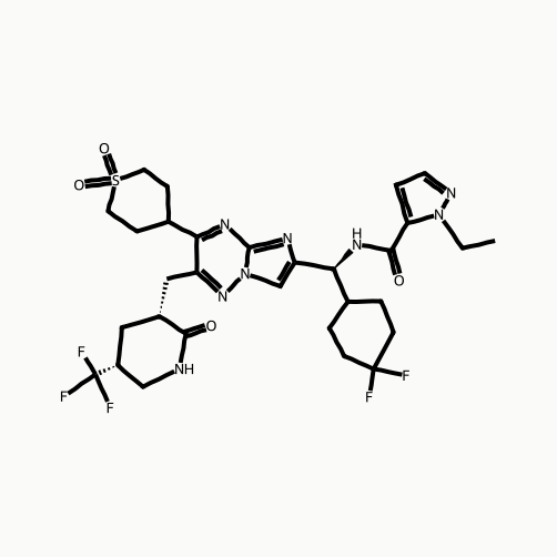 CCn1nccc1C(=O)N[C@H](c1cn2nc(C[C@H]3C[C@@H](C(F)(F)F)CNC3=O)c(C3CCS(=O)(=O)CC3)nc2n1)C1CCC(F)(F)CC1